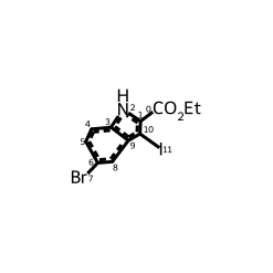 CCOC(=O)c1[nH]c2ccc(Br)cc2c1I